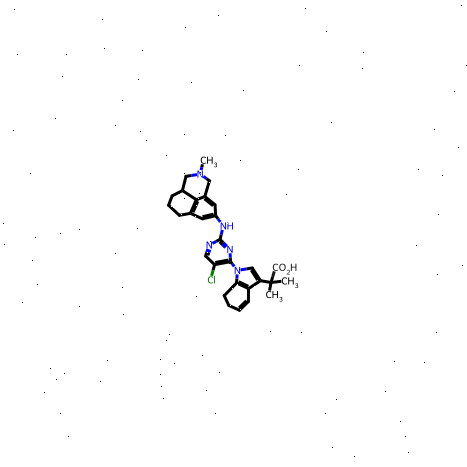 CN1Cc2cc(Nc3ncc(Cl)c(-n4cc(C(C)(C)C(=O)O)c5c4CCC=C5)n3)cc3c2C(CCC3)C1